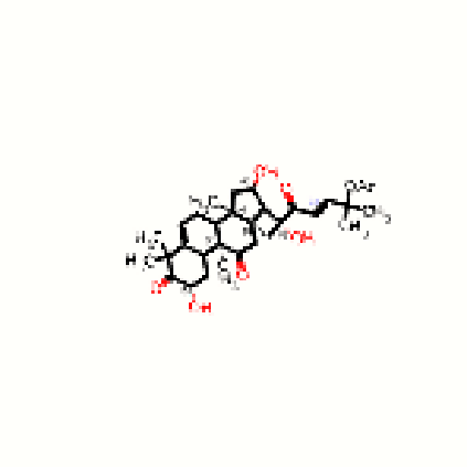 CC(=O)OC(C)(C)/C=C/C(=O)[C@@]1(O)C[C@]23CC(=O)[C@@]4(C)C5C[C@H](O)C(=O)C(C)(C)C5=CCC4[C@]2(C)C[C@@H](O)C31